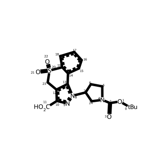 CC(C)(C)OC(=O)N1CCC(n2nc(C(=O)O)c3c2-c2ccccc2S(=O)(=O)C3)C1